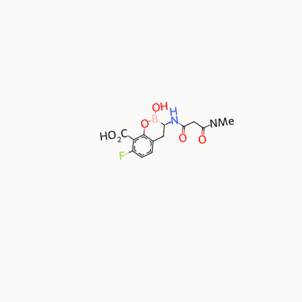 CNC(=O)CC(=O)N[C@H]1Cc2ccc(F)c(C(=O)O)c2OB1O